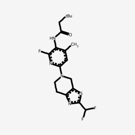 Cc1cc(N2CCc3nc(C(F)F)sc3C2)nc(F)c1NC(=O)CC(C)(C)C